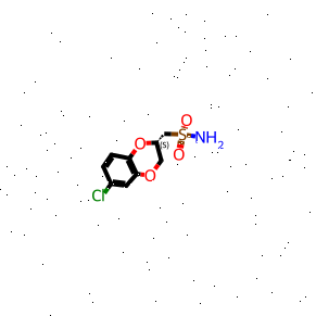 NS(=O)(=O)C[C@@H]1COc2cc(Cl)ccc2O1